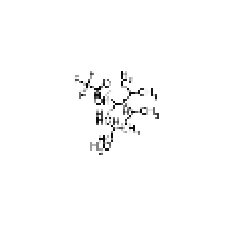 CC(C)[SiH](C(C)C)C(C)C.CC(O)O.O.O=C(O)C(F)(F)F